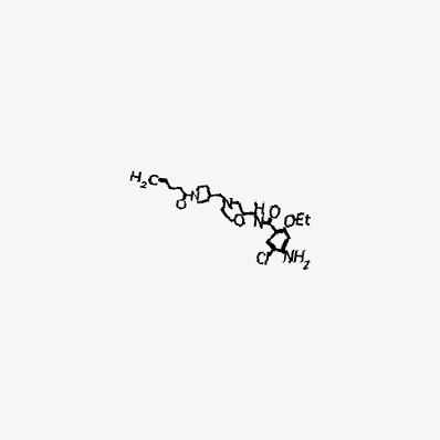 C=CCCC(=O)N1CCC(CN2CCOC(CNC(=O)c3cc(Cl)c(N)cc3OCC)C2)CC1